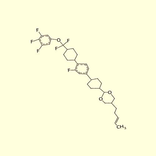 C/C=C/CCC1COC(C2CCC(c3ccc(C4CCC(C(F)(F)Oc5cc(F)c(F)c(F)c5)CC4)c(F)c3)CC2)OC1